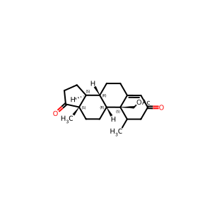 CC(=O)OC[C@@]12C(=CC(=O)CC1C)CC[C@@H]1[C@H]2CC[C@]2(C)C(=O)CC[C@@H]12